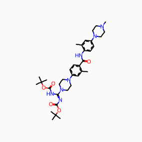 Cc1cc(N2CCN(C)CC2)ccc1NC(=O)c1ccc(N2CCN(C(=NC(=O)OC(C)(C)C)NC(=O)OC(C)(C)C)CC2)cc1C